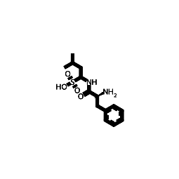 CC(C)CC(NC(=O)[C@@H](N)Cc1ccccc1)S(=O)(=O)O